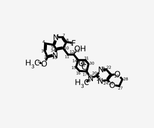 COc1ccc2ncc(F)c(C[C@@H](O)C34CCC(N(C)c5ncc6c(n5)OCCO6)(CC3)CO4)c2n1